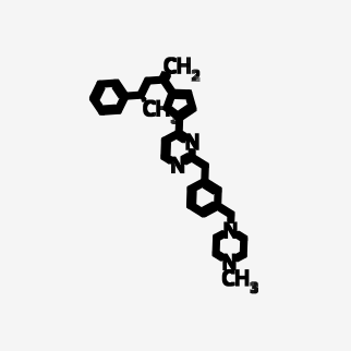 C=C(C[C@H](C)c1ccccc1)C1=CC=C(c2ccnc(Cc3cccc(CN4CCN(C)CC4)c3)n2)C1